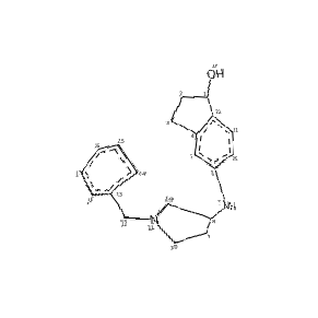 OC1CCc2cc(NC3CCN(Cc4ccccc4)C3)ccc21